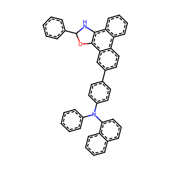 c1ccc(C2Nc3c(c4cc(-c5ccc(N(c6ccccc6)c6cccc7ccccc67)cc5)ccc4c4ccccc34)O2)cc1